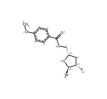 COc1ccc(C(=O)OC[C@@H]2C[C@H](F)[C@@H](Br)S2)cc1